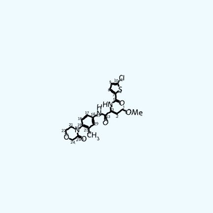 COCCC(NC(=O)c1ccc(Cl)s1)C(=O)Nc1ccc(N2CCOCC2=O)c(C)c1